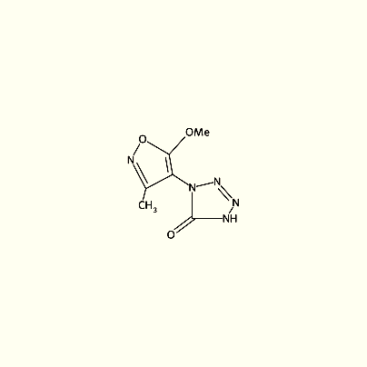 COc1onc(C)c1-n1nn[nH]c1=O